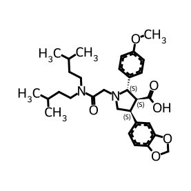 COc1ccc([C@@H]2[C@@H](C(=O)O)[C@@H](c3ccc4c(c3)OCO4)CN2CC(=O)N(CCC(C)C)CCC(C)C)cc1